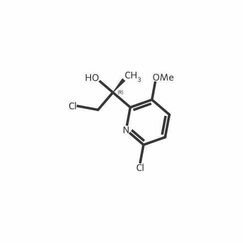 COc1ccc(Cl)nc1[C@@](C)(O)CCl